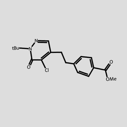 COC(=O)c1ccc(CCc2cnn(C(C)(C)C)c(=O)c2Cl)cc1